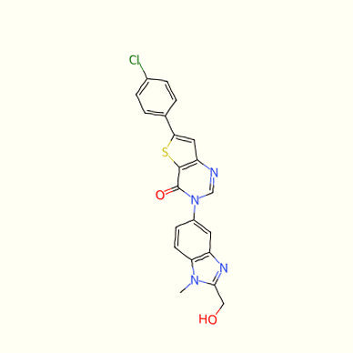 Cn1c(CO)nc2cc(-n3cnc4cc(-c5ccc(Cl)cc5)sc4c3=O)ccc21